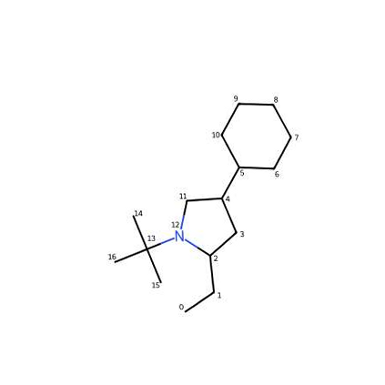 CCC1CC(C2CCCCC2)CN1C(C)(C)C